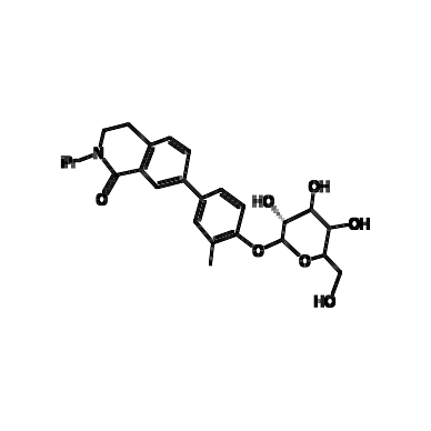 Cc1cc(-c2ccc3c(c2)C(=O)N(C(C)C)CC3)ccc1OC1OC(CO)C(O)C(O)[C@H]1O